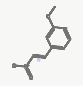 COc1[c]ccc(/C=C/[N+](=O)[O-])c1